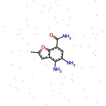 Cc1cc2c(N)c(N)cc(C(N)=O)c2o1